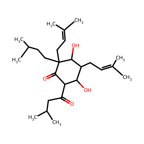 CC(C)=CCC1C(O)C(C(=O)CC(C)C)C(=O)C(CC=C(C)C)(CCC(C)C)C1O